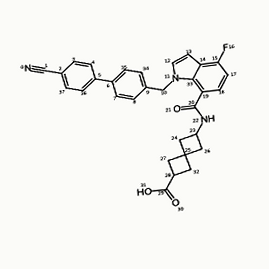 N#Cc1ccc(-c2ccc(Cn3ccc4c(F)ccc(C(=O)NC5CC6(C5)CC(C(=O)O)C6)c43)cc2)cc1